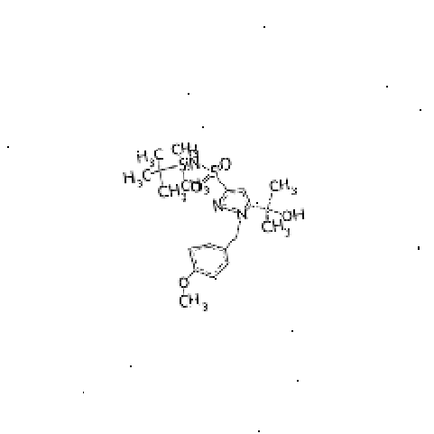 COc1ccc(Cn2nc(S(=O)(=O)N[Si](C)(C)C(C)(C)C)cc2C(C)(C)O)cc1